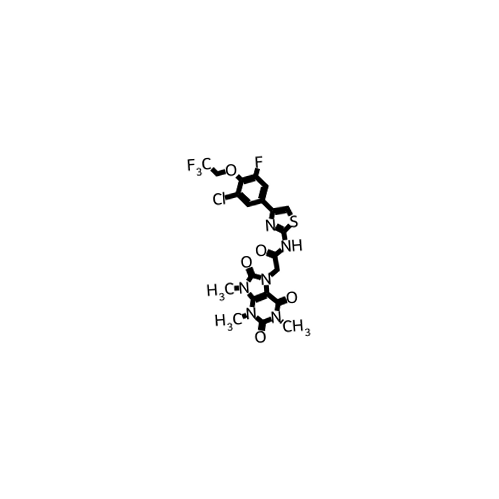 Cn1c(=O)c2c(n(C)c1=O)n(C)c(=O)n2CC(=O)Nc1nc(-c2cc(F)c(OCC(F)(F)F)c(Cl)c2)cs1